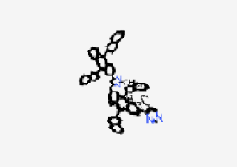 Cc1nc(Cc2ccc3c(-c4ccc5ccccc5c4)c4ccc(-c5ncncc5C)cc4c(-c4ccc5ccccc5c4)c3c2)cc(-c2ccc3c(-c4ccc5ccccc5c4)c4ccccc4c(-c4ccc5ccccc5c4)c3c2)n1